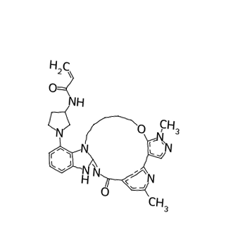 C=CC(=O)NC1CCN(c2cccc3c2N2CCCCCOc4c(cnn4C)-c4cc(cc(C)n4)C(=O)/N=C/2N3)C1